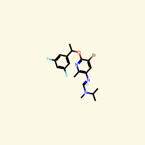 Cc1nc(OC(C)c2cc(F)cc(F)c2)c(Br)cc1/N=C/N(C)C(C)C